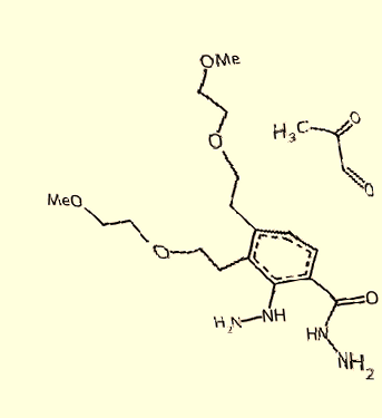 CC(=O)C=O.COCCOCCc1ccc(C(=O)NN)c(NN)c1CCOCCOC